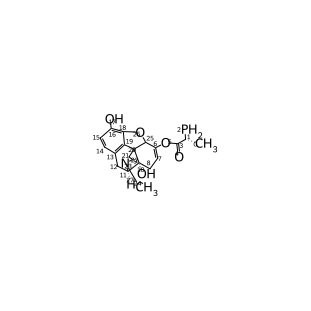 C[C@@H](P)C(=O)OC1=CC[C@@]2(O)[C@H]3Cc4ccc(O)c5c4C2(CCN3C)C1O5